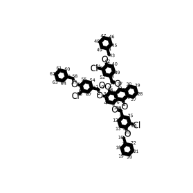 O=C(Oc1ccc2c(OC(=O)c3ccc(OCc4ccccc4)c(Cl)c3)c3ccccc3cc2c1OC(=O)c1ccc(OCc2ccccc2)c(Cl)c1)c1ccc(OCc2ccccc2)c(Cl)c1